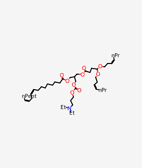 CCC/C=C\CCOC(CCC(=O)OCC(COC(=O)CCCCCCC/C=C\C/C=C\CCCCC)COC(=O)OCCCN(CC)CC)OCC/C=C\CCC